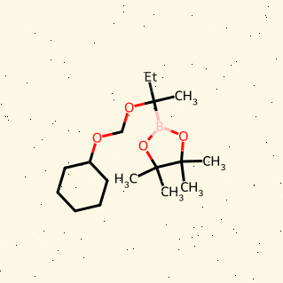 CCC(C)(OCOC1CCCCC1)B1OC(C)(C)C(C)(C)O1